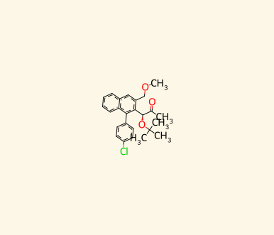 COCc1cc2ccccc2c(-c2ccc(Cl)cc2)c1[C@H](OC(C)(C)C)C(C)=O